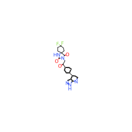 O=C(CN1C(=O)NC2(CCC(F)(F)CC2)C1=O)c1ccc(-c2ccnc3[nH]ncc23)cc1